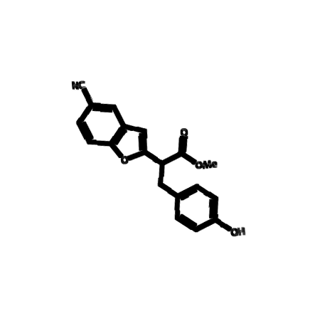 COC(=O)C(Cc1ccc(O)cc1)c1cc2cc(C#N)ccc2o1